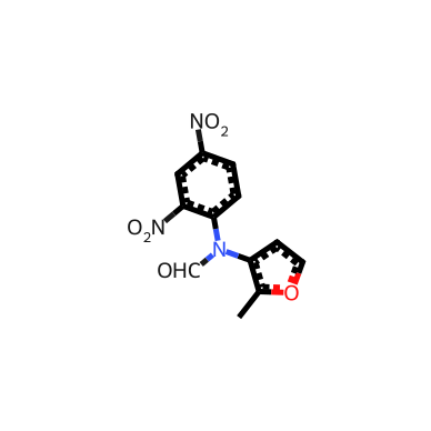 Cc1occc1N(C=O)c1ccc([N+](=O)[O-])cc1[N+](=O)[O-]